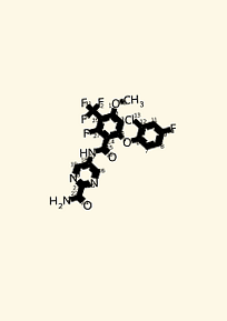 COc1cc(Oc2ccc(F)cc2Cl)c(C(=O)Nc2cnc(C(N)=O)nc2)c(F)c1C(F)(F)F